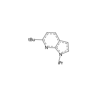 CC(C)n1ccc2ccc(C(C)(C)C)nc21